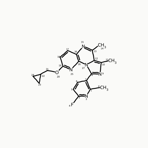 Cc1nc(F)ccc1-c1nc(C)c2c(C)nc3ccc(OCC4CC4)nc3n12